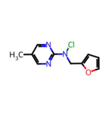 Cc1cnc(N(Cl)Cc2ccco2)nc1